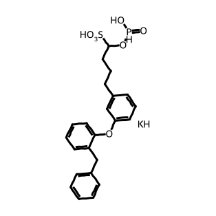 O=[PH](O)OC(CCCc1cccc(Oc2ccccc2Cc2ccccc2)c1)S(=O)(=O)O.[KH]